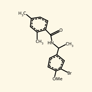 COc1ccc(C(C)NC(=O)c2ccc(C)cc2C)cc1Br